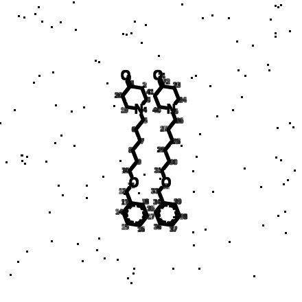 O=C1CCN(CCCCCCOCc2ccccc2)CC1.O=C1CCN(CCCCCCOCc2ccccc2)CC1